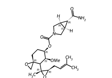 CO[C@H]1C([C@@]2(C)O[C@@H]2CC=C(C)C)[C@]2(CC[C@H]1OC(=O)N1C[C@@H]3[C@H](C1)[C@H]3C(N)=O)CO2